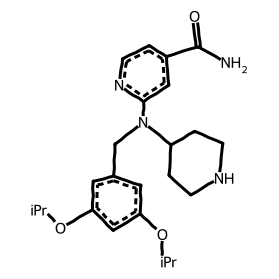 CC(C)Oc1cc(CN(c2cc(C(N)=O)ccn2)C2CCNCC2)cc(OC(C)C)c1